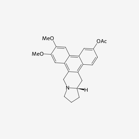 COc1cc2c3c(c4ccc(OC(C)=O)cc4c2cc1OC)C[C@@H]1CCCN1C3